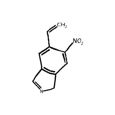 C=Cc1cc2c(cc1[N+](=O)[O-])CN=C2